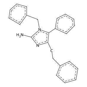 Nc1nc(CCc2ccccc2)c(-c2ccccc2)n1Cc1ccccc1